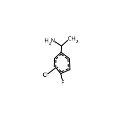 CC(N)c1ccc(F)c(Cl)c1